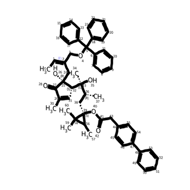 C/C=C(/COC(c1ccccc1)(c1ccccc1)c1ccccc1)C[C@]1(O)C(=O)C(C)=C[C@H]1[C@@](C)(O)[C@H](C)C[C@]1(OC(=O)Cc2ccc(-c3ccccc3)cc2)C(C)C1(C)C